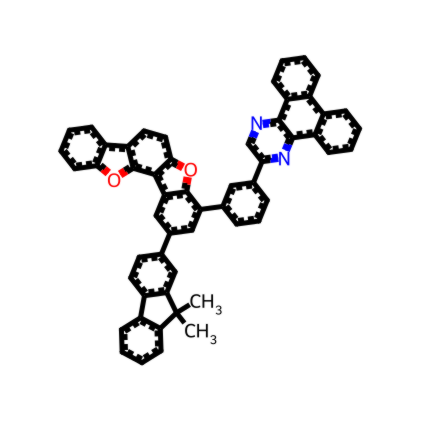 CC1(C)c2ccccc2-c2ccc(-c3cc(-c4cccc(-c5cnc6c7ccccc7c7ccccc7c6n5)c4)c4oc5ccc6c7ccccc7oc6c5c4c3)cc21